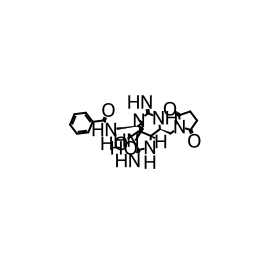 N=C1N[C@H]2[C@H](CN3C(=O)CCC3=O)NC(=N)N3C[C@H](NC(=O)c4ccccc4)C(O)(O)[C@]23N1